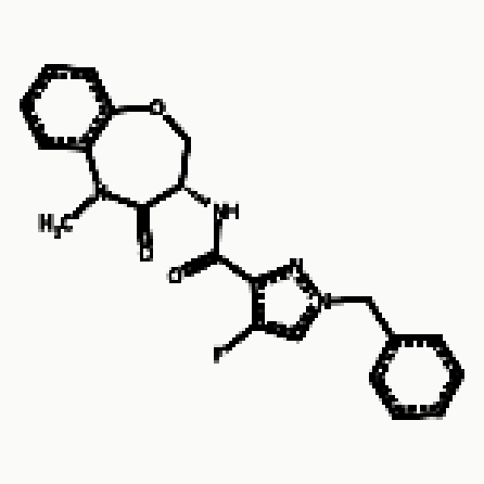 CN1C(=O)[C@@H](NC(=O)c2nn(Cc3ccccc3)cc2F)COc2ccccc21